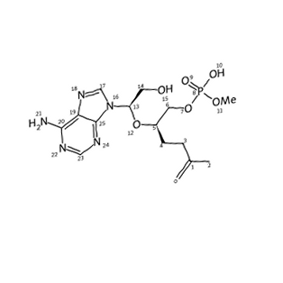 C=C(C)CC[C@H](COP(=O)(O)OC)O[C@H](CO)n1cnc2c(N)ncnc21